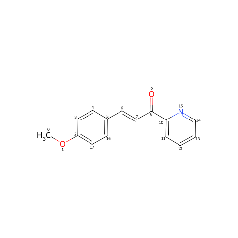 COc1ccc(C=CC(=O)c2ccccn2)cc1